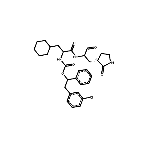 O=CC(C[C@@H]1CCNC1=O)NC(=O)C(CC1CCCCC1)NC(=O)OC(Cc1cccc(Cl)c1)c1ccccc1